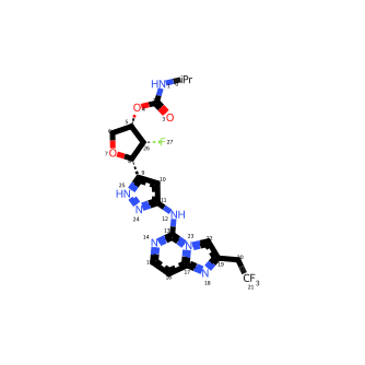 CC(C)NC(=O)O[C@H]1CO[C@@H](c2cc(Nc3nccc4nc(CC(F)(F)F)cn34)n[nH]2)[C@H]1F